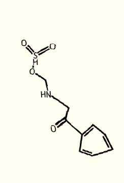 O=C(CNCO[SH](=O)=O)c1ccccc1